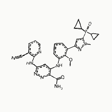 COc1c(Nc2cc(Nc3ncccc3C#N)nnc2C(N)=O)cccc1-c1cc(P(=O)(C2CC2)C2CC2)n(C)n1